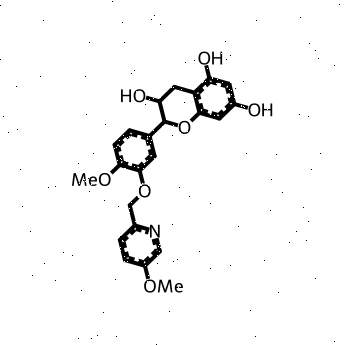 COc1ccc(COc2cc(C3Oc4cc(O)cc(O)c4CC3O)ccc2OC)nc1